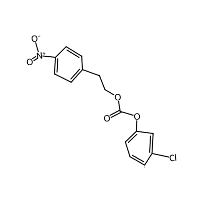 O=C(OCCc1ccc([N+](=O)[O-])cc1)Oc1cc[c]c(Cl)c1